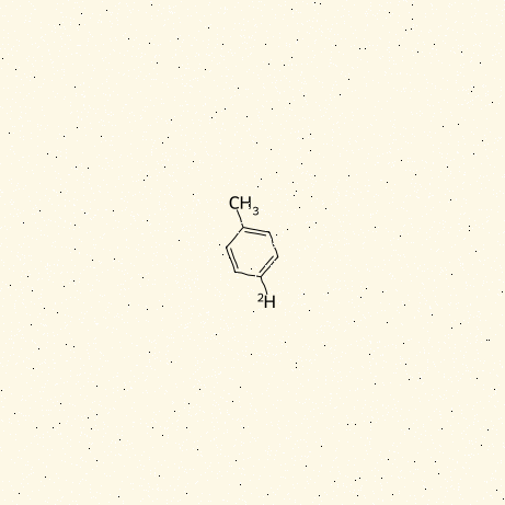 [2H]c1ccc(C)cc1